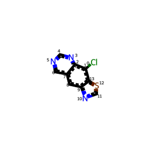 Clc1c2ncncc2cc2ncsc12